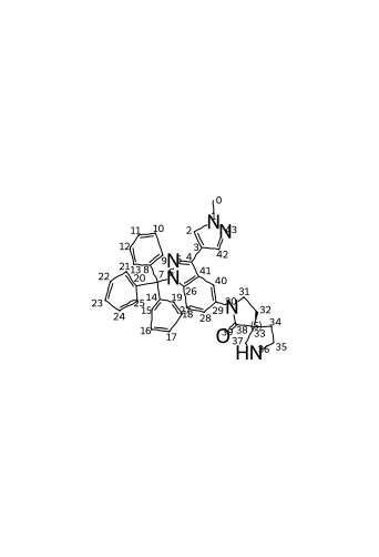 Cn1cc(-c2nn(C(c3ccccc3)(c3ccccc3)c3ccccc3)c3ccc(N4CC[C@]5(CCNC5)C4=O)cc23)cn1